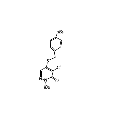 CCCCc1ccc(CSc2cnn(C(C)CC)c(=O)c2Cl)cc1